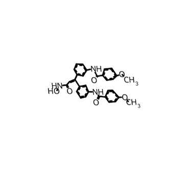 COc1ccc(C(=O)Nc2cccc(C(=CC(=O)NO)c3cccc(NC(=O)c4ccc(OC)cc4)c3)c2)cc1